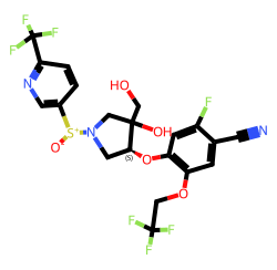 N#Cc1cc(OCC(F)(F)F)c(O[C@H]2CN([S+]([O-])c3ccc(C(F)(F)F)nc3)CC2(O)CO)cc1F